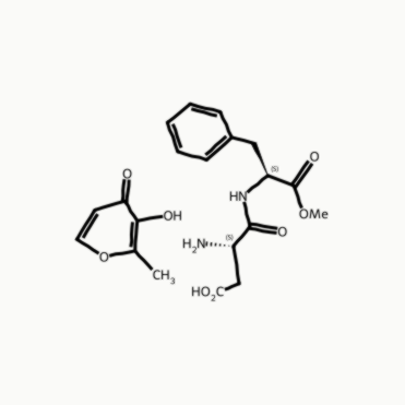 COC(=O)[C@H](Cc1ccccc1)NC(=O)[C@@H](N)CC(=O)O.Cc1occc(=O)c1O